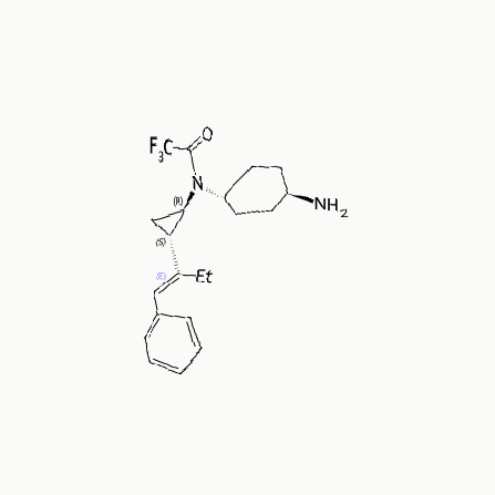 CC/C(=C\c1ccccc1)[C@@H]1C[C@H]1N(C(=O)C(F)(F)F)[C@H]1CC[C@H](N)CC1